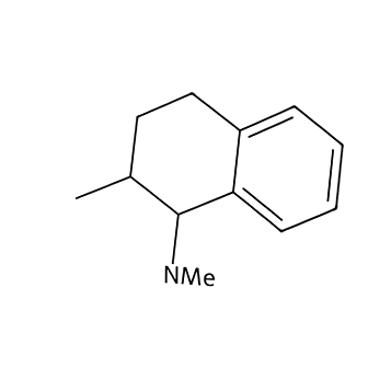 CNC1c2ccccc2CCC1C